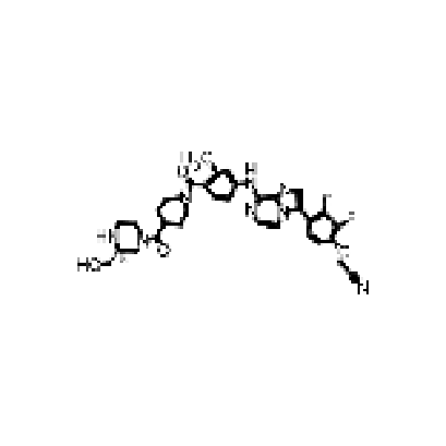 Cc1cc(Nc2nccn3c(-c4ccc(OCC#N)c(F)c4Cl)cnc23)ccc1C(=O)N1CCC(C(=O)N2CCN[C@H](CO)C2)CC1